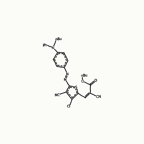 CCCCOC(=O)C(C#N)=Cc1sc(N=Nc2ccc(N(CCCC)C(C)C)cc2)c(C#N)c1Cl